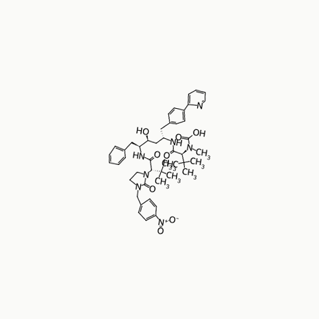 CN(C(=O)O)[C@H](C(=O)N[C@@H](Cc1ccc(-c2ccccn2)cc1)C[C@H](O)[C@H](Cc1ccccc1)NC(=O)[C@@H](N1CCN(Cc2ccc([N+](=O)[O-])cc2)C1=O)C(C)(C)C)C(C)(C)C